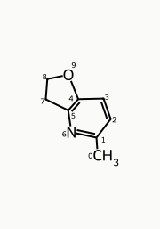 Cc1ccc2c(n1)CCO2